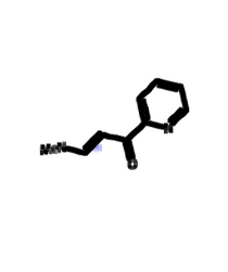 CN/C=C/C(=O)c1ccccn1